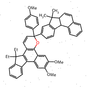 CCC1(CC)c2ccccc2-c2c1c1c(c3cc(OC)c(OC)cc23)OC(c2ccc(OC)cc2)(c2ccc3c(c2)C(C)(C)C2C=Cc4ccccc4C32)C=C1